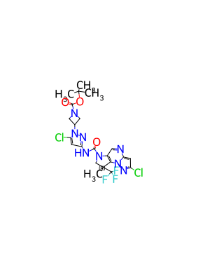 CC(C)(C)OC(=O)N1CC(n2nc(NC(=O)N3C[C@@](C)(C(F)(F)F)c4c3cnc3cc(Cl)nn43)cc2Cl)C1